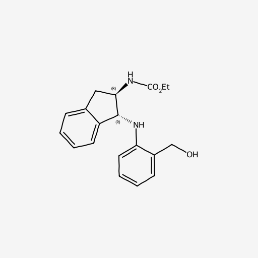 CCOC(=O)N[C@@H]1Cc2ccccc2[C@H]1Nc1ccccc1CO